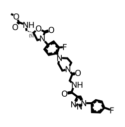 COC(=O)NC[C@H]1CN(c2ccc(N3CCN(C(=O)CNC(=O)c4cn(-c5ccc(F)cc5)nn4)CC3)c(F)c2)C(=O)O1